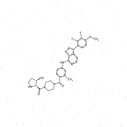 COc1ccc(-c2cnc3c(Nc4ccc(C(=O)N5CCN(C(=O)[C@H]6NCC[C@H]6O)CC5)c(C)c4)nccn23)c(F)c1F